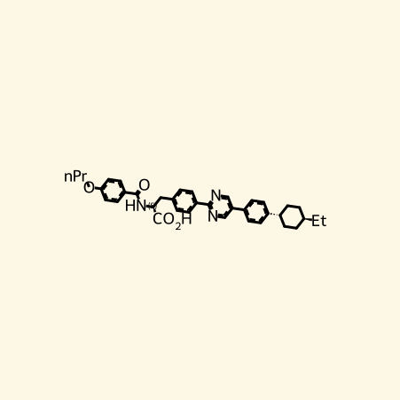 CCCOc1ccc(C(=O)N[C@@H](Cc2ccc(-c3ncc(-c4ccc([C@H]5CC[C@H](CC)CC5)cc4)cn3)cc2)C(=O)O)cc1